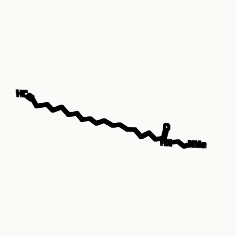 C#CCCCCCCCCCCCCCCCCCC(=O)NCCNC